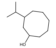 CC(C)C1CCCCCC(O)C1